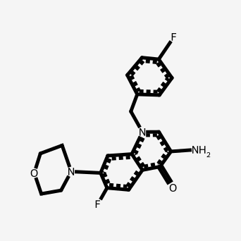 Nc1cn(Cc2ccc(F)cc2)c2cc(N3CCOCC3)c(F)cc2c1=O